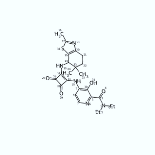 CCN(CC)C(=O)c1nccc(Nc2c(NC3c4sc(C)nc4CCC3(C)C)c(=O)c2=O)c1O